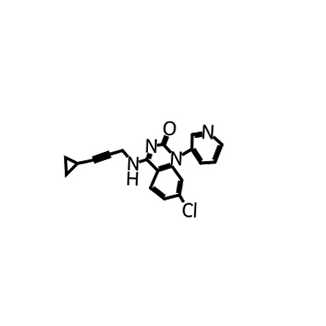 O=c1nc(NCC#CC2CC2)c2ccc(Cl)cc2n1-c1cccnc1